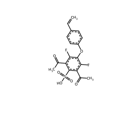 C=Cc1ccc(Oc2c(F)c(C(C)=O)c(S(=O)(=O)O)c(C(C)=O)c2F)cc1